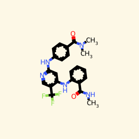 CNC(=O)c1ccccc1Nc1cc(Nc2ccc(C(=O)N(C)C)cc2)ncc1C(F)(F)F